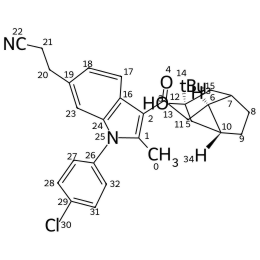 Cc1c(C(=O)C[C@H]2C3CC[C@@H]2C[C@](O)(C(C)(C)C)C3)c2ccc(CCC#N)cc2n1-c1ccc(Cl)cc1